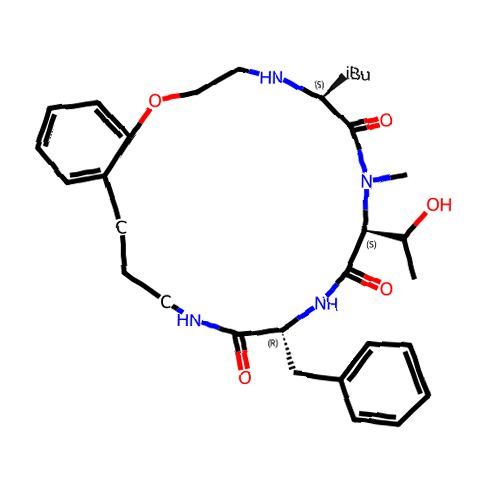 CCC(C)[C@@H]1NCCOc2ccccc2CCCNC(=O)[C@@H](Cc2ccccc2)NC(=O)[C@H](C(C)O)N(C)C1=O